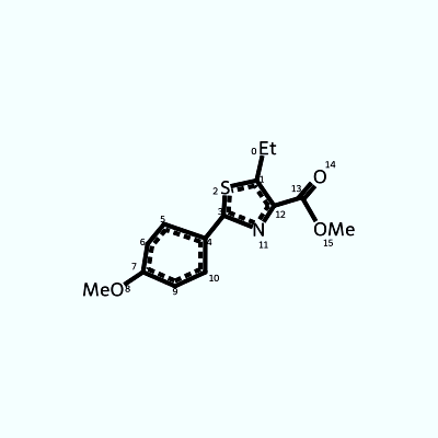 CCc1sc(-c2ccc(OC)cc2)nc1C(=O)OC